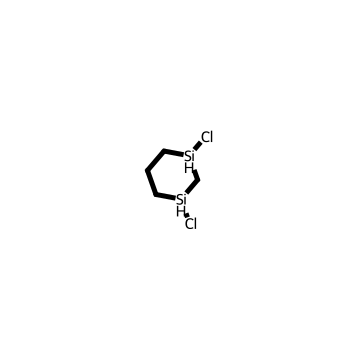 Cl[SiH]1CCC[SiH](Cl)C1